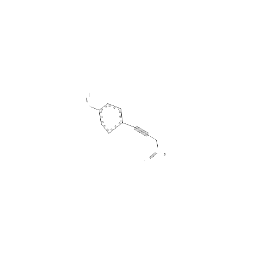 COc1ccc(C#CC[SH](=O)=O)cc1